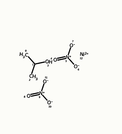 CC(C)O.O=[N+]([O-])[O-].O=[N+]([O-])[O-].[Ni+2]